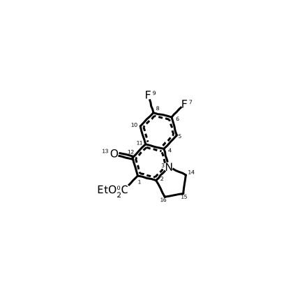 CCOC(=O)c1c2n(c3cc(F)c(F)cc3c1=O)CCC2